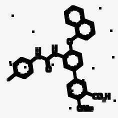 COc1ccc(-c2ccc(Oc3cccc4ccccc34)c(NC(=O)Nc3ccc(C)cc3)c2)cc1C(=O)O